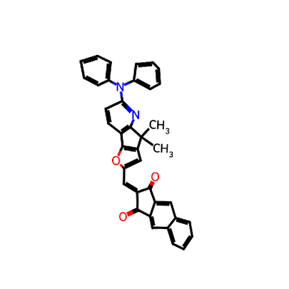 CC1(C)c2cc(C=C3C(=O)c4cc5ccccc5cc4C3=O)oc2-c2ccc(N(c3ccccc3)c3ccccc3)nc21